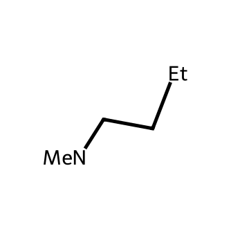 [CH2-][CH+]CC[NH2+][CH2-]